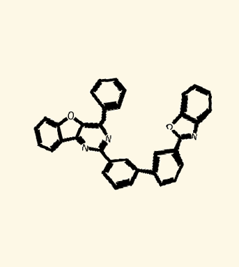 c1ccc(-c2nc(-c3cccc(-c4cccc(-c5nc6ccccc6o5)c4)c3)nc3c2oc2ccccc23)cc1